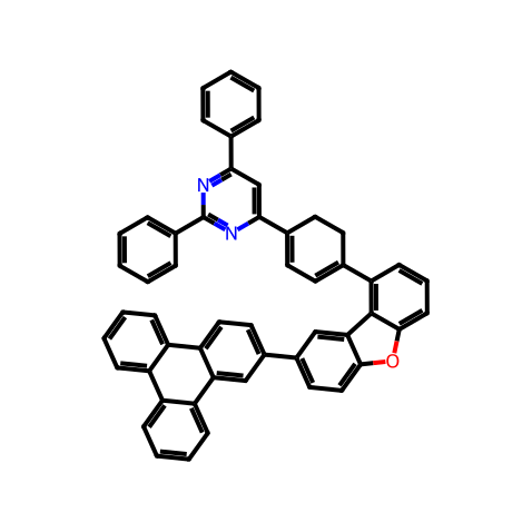 C1=C(c2cc(-c3ccccc3)nc(-c3ccccc3)n2)CCC(c2cccc3oc4ccc(-c5ccc6c7ccccc7c7ccccc7c6c5)cc4c23)=C1